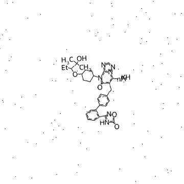 CCCc1c(Cc2ccc(-c3ccccc3-c3noc(=O)[nH]3)cc2)c(=O)n(C2CCC(OC(CC)C(C)(C)O)CC2)c2ncnn12.[KH]